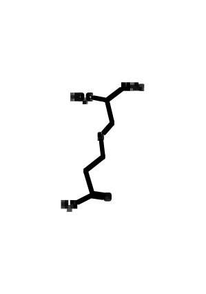 CC(=O)NC(CSCCC(N)=O)C(=O)O